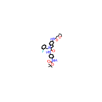 CC(C)(C)OC(=O)Nc1ccc(NC(=O)c2cc3cc(NC(=O)CC4CCCO4)ccc3n2Cc2ccccc2F)cc1